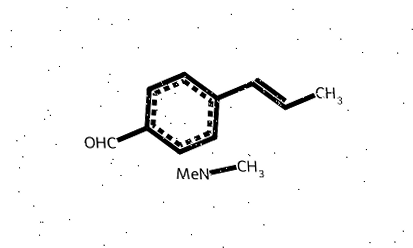 CC=Cc1ccc(C=O)cc1.CNC